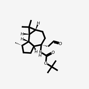 C[C@H]1CC[C@@H]2[C@H]1[C@H]1[C@@H](CC[C@@]2(CC=O)NC(=O)OC(C)(C)C)C1(C)C